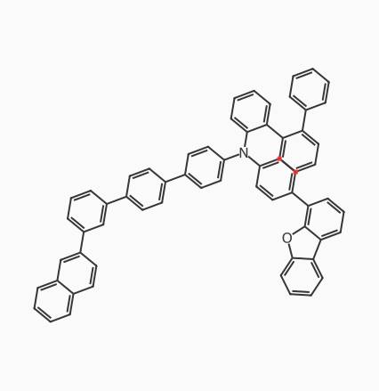 c1ccc(-c2ccccc2-c2ccccc2N(c2ccc(-c3ccc(-c4cccc(-c5ccc6ccccc6c5)c4)cc3)cc2)c2ccc(-c3cccc4c3oc3ccccc34)cc2)cc1